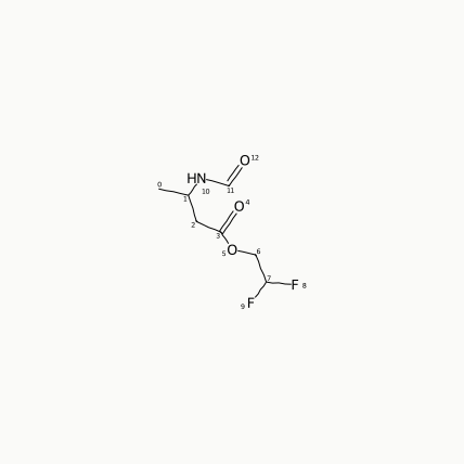 CC(CC(=O)OCC(F)F)NC=O